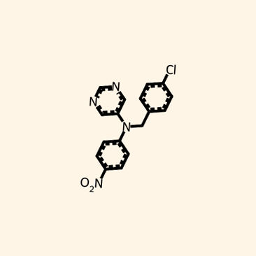 O=[N+]([O-])c1ccc(N(Cc2ccc(Cl)cc2)c2cncnc2)cc1